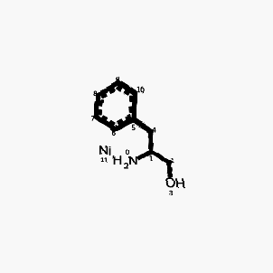 NC(CO)Cc1ccccc1.[Ni]